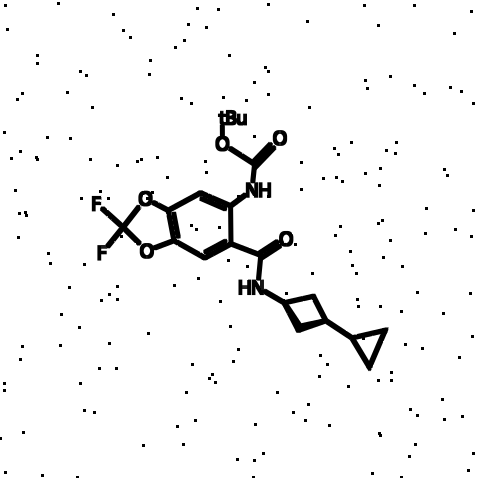 CC(C)(C)OC(=O)Nc1cc2c(cc1C(=O)NC13CC(C4CC4)(C1)C3)OC(F)(F)O2